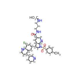 Cc1ccc(S(=O)(=O)n2cc(-c3cc(F)c4nccc(-c5cccnc5)c4c3)c3cc(C(=O)NCCCNC(=O)O)cnc32)cc1